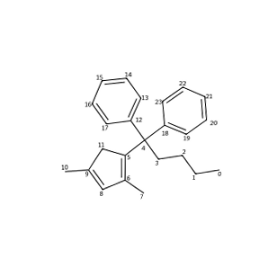 CCCCC(C1=C(C)C=C(C)C1)(c1ccccc1)c1ccccc1